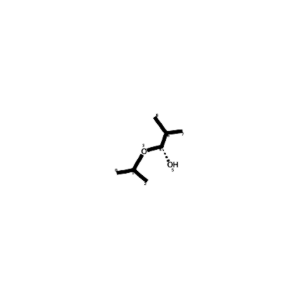 CC(C)O[C@@H](O)C(C)C